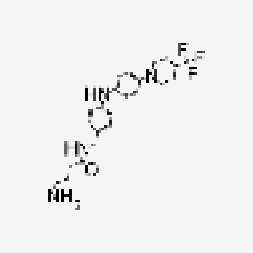 NCCCC(=O)NCc1ccc(Nc2ccc(N3CCC(C(F)(F)F)CC3)cc2)cc1